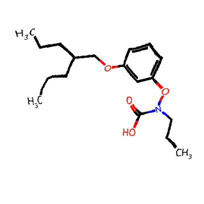 CCCC(CCC)COc1cccc(ON(CCC)C(=O)O)c1